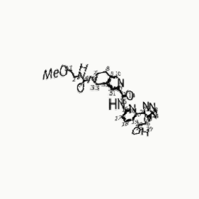 COCCNC(=O)N1CCc2cnc(C(=O)Nc3cccc(-c4nnnn4[C@H](C)CO)n3)cc2C1